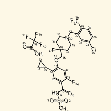 CS(=O)(=O)NC(=O)c1cc(C2CC2)c(OCC2(F)CCN(Cc3cc(Cl)ccc3C(F)(F)F)CC2)cc1F.O=C(O)C(F)(F)F